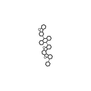 c1ccc(-c2cccc3c2oc2ccc4oc5c(-c6c7ccccc7c(-c7ccc8oc9ccccc9c8c7)c7ccccc67)cccc5c4c23)cc1